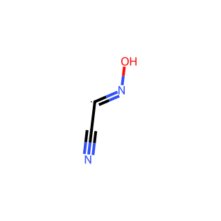 N#C/[C]=N/O